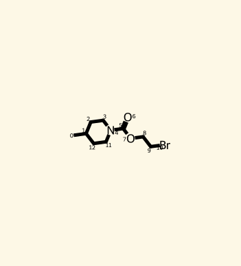 CC1CCN(C(=O)OCCBr)CC1